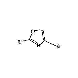 Brc1coc(Br)n1